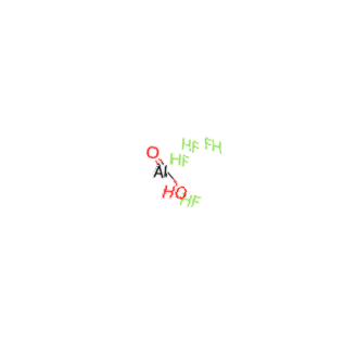 F.F.F.F.[O]=[Al][OH]